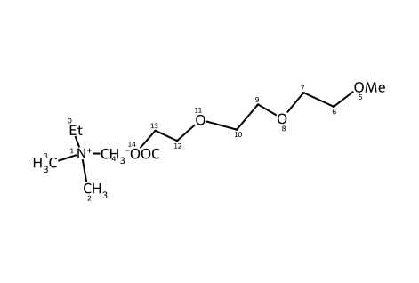 CC[N+](C)(C)C.COCCOCCOCCC(=O)[O-]